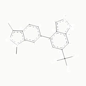 Cc1nn(C)c2cc(-c3cc(C(F)(F)F)cc4[nH]ncc34)ccc12